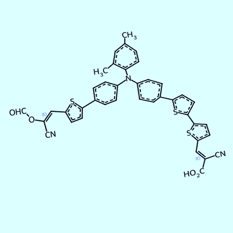 Cc1ccc(N(c2ccc(-c3ccc(/C=C(\C#N)OC=O)s3)cc2)c2ccc(-c3ccc(-c4ccc(/C=C(\C#N)C(=O)O)s4)s3)cc2)c(C)c1